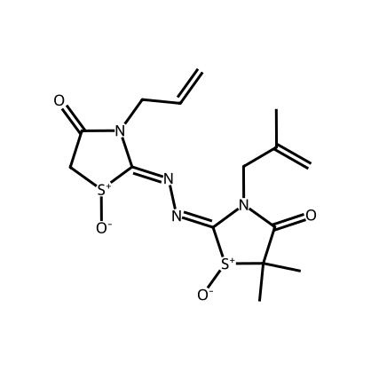 C=CCN1C(=O)C[S+]([O-])C1=NN=C1N(CC(=C)C)C(=O)C(C)(C)[S+]1[O-]